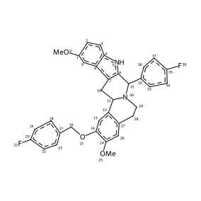 COc1ccc2[nH]c3c(c2c1)CC1c2cc(OCc4ccc(F)cc4)c(OC)cc2CCN1C3c1ccc(F)cc1